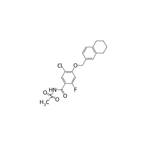 CS(=O)(=O)NC(=O)c1cc(Cl)c(OCc2ccc3c(c2)CCCC3)cc1F